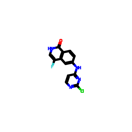 O=c1[nH]cc(F)c2cc(Nc3ccnc(Cl)n3)ccc12